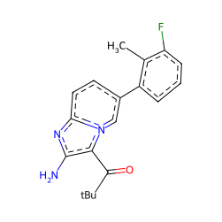 Cc1c(F)cccc1-c1ccc2nc(N)c(C(=O)C(C)(C)C)n2c1